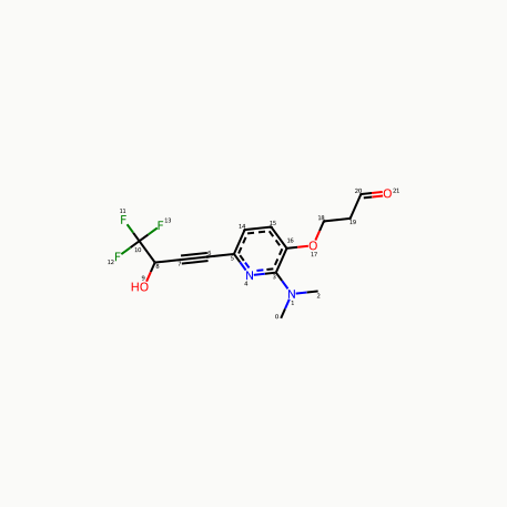 CN(C)c1nc(C#CC(O)C(F)(F)F)ccc1OCCC=O